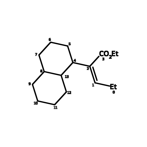 CCC=C(C(=O)OCC)C1CCCC2CCCCC21